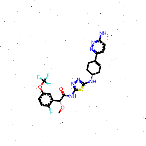 CO[C@@H](C(=O)Nc1nnc(N[C@@H]2CC=C(c3ccc(N)nn3)CC2)s1)c1cc(OC(F)(F)F)ccc1F